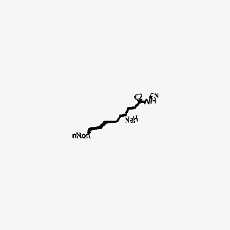 CCCCCCCCCCCCCCCCCC(=O)NC#N.[NaH]